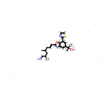 CCC(C=N)CC(C)C/C=C/c1nc2cc(C(C)(O)C(F)(F)F)cc(-c3nccs3)c2o1